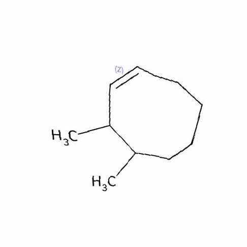 CC1/C=C\CCCCC1C